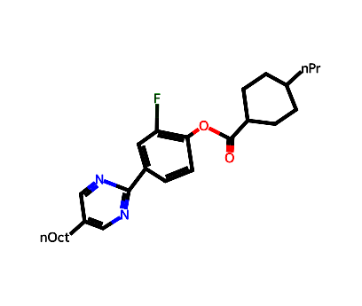 CCCCCCCCc1cnc(-c2ccc(OC(=O)C3CCC(CCC)CC3)c(F)c2)nc1